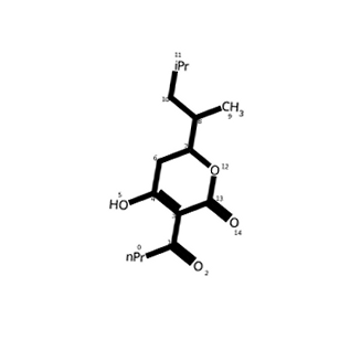 CCCC(=O)C1=C(O)CC(C(C)CC(C)C)OC1=O